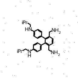 CC(C)CNc1ccc(-c2c(CN)ccc(CN)c2-c2ccc(NCC(C)C)cc2)cc1